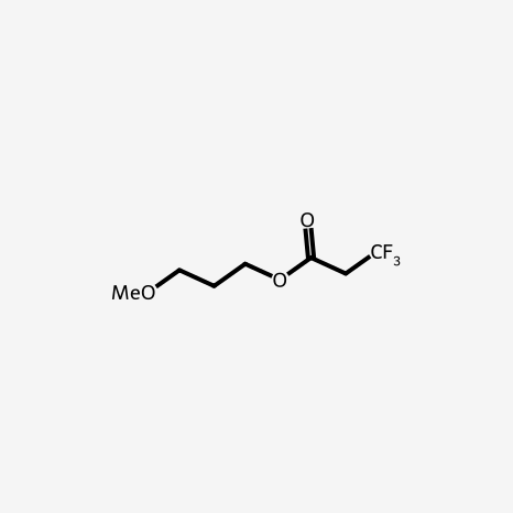 COCCCOC(=O)CC(F)(F)F